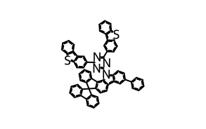 c1ccc(-c2ccc3c(c2)c2ccc4c(c2n3-c2nc(-c3ccc5sc6ccccc6c5c3)nc(-c3ccc5sc6ccccc6c5c3)n2)-c2ccccc2C42c3ccccc3-c3ccccc32)cc1